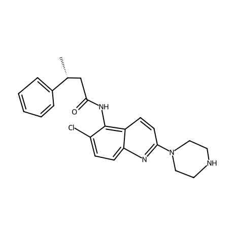 C[C@H](CC(=O)Nc1c(Cl)ccc2nc(N3CCNCC3)ccc12)c1ccccc1